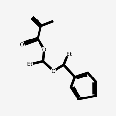 C=C(C)C(=O)OC(CC)OC(CC)c1ccccc1